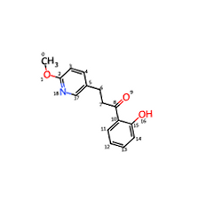 COc1ccc(CCC(=O)c2ccccc2O)cn1